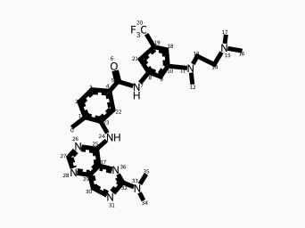 Cc1ccc(C(=O)Nc2cc(N(C)CCN(C)C)cc(C(F)(F)F)c2)cc1Nc1ncnc2cnc(N(C)C)nc12